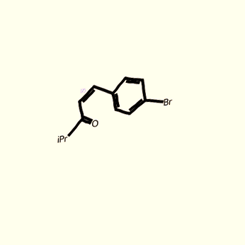 CC(C)C(=O)/C=C\c1ccc(Br)cc1